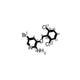 Nc1ncc(Br)cc1OCc1c(Cl)cccc1Cl